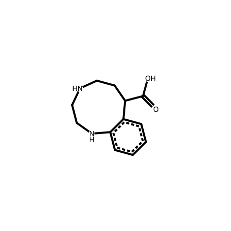 O=C(O)C1CCNCCNc2ccccc21